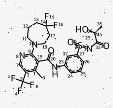 Cc1c(C(F)(F)F)cnc(N2CCCC(F)(F)CC2)c1C(=O)Nc1cccc([S@@](C)(=O)=NC(=O)[C@H](C)O)c1